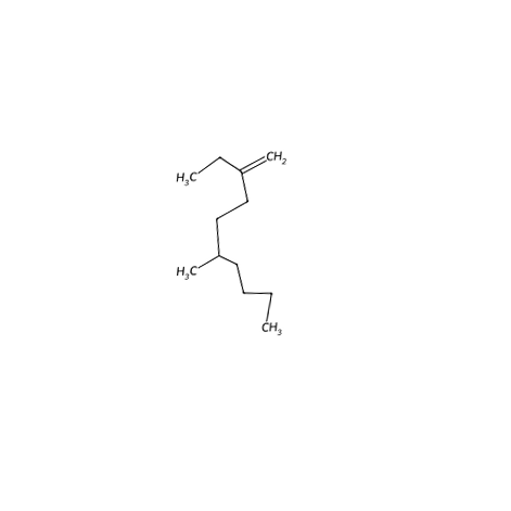 C=C(CC)CCC(C)CCCC